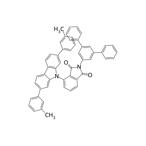 Cc1cccc(-c2ccc3c4ccc(-c5cccc(C)c5)cc4n(-c4cccc5c4C(=O)N(c4cc(-c6ccccc6)cc(-c6ccccc6)c4)C5=O)c3c2)c1